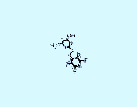 Cc1cc(O)nc(SCc2c(F)c(F)nc(F)c2F)n1